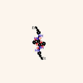 CCC(C)(C)CCC(C)(C)c1ccc(NCC(=O)Nc2ccc(-c3ccc(NC(=O)CNc4ccc(C(C)(C)CCC(C)(C)CC)cc4)c4c3C(=O)c3ccccc3C4=O)c3c2C(=O)c2ccccc2C3=O)cc1